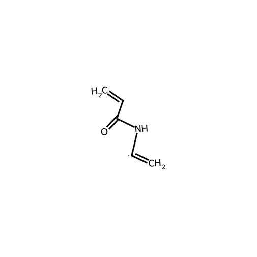 C=[C]NC(=O)C=C